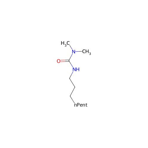 CCCCCCCCNC(=O)N(C)C